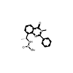 C[C@@H](N[S+]([O-])C(C)(C)C)c1cccc2c(=O)n(C)c(-c3ccccc3)nc12